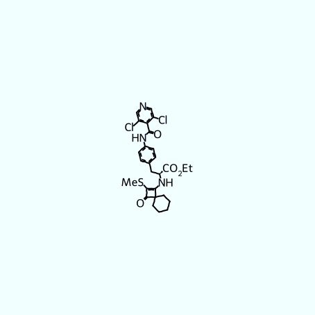 CCOC(=O)[C@H](Cc1ccc(NC(=O)c2c(Cl)cncc2Cl)cc1)NC1=C(SC)C(=O)C12CCCCC2